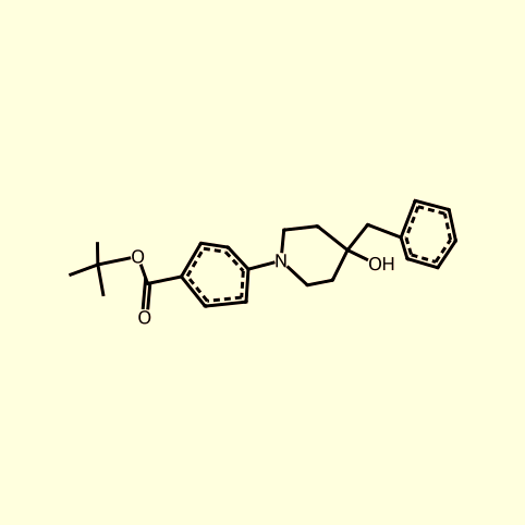 CC(C)(C)OC(=O)c1ccc(N2CCC(O)(Cc3ccccc3)CC2)cc1